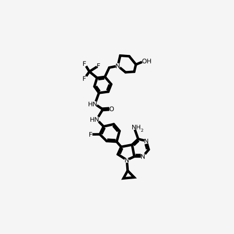 Nc1ncnc2c1c(-c1ccc(NC(=O)Nc3ccc(CN4CCC(O)CC4)c(C(F)(F)F)c3)c(F)c1)cn2C1CC1